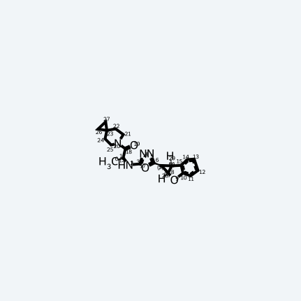 C[C@H](Nc1nnc([C@@H]2[C@@H]3Oc4ccccc4[C@@H]32)o1)C(=O)N1CCC2(CC1)CC2